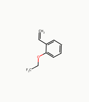 C=Cc1c[c]ccc1OCC(F)(F)F